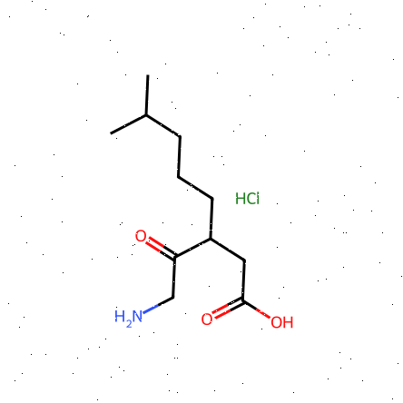 CC(C)CCCC(CC(=O)O)C(=O)CN.Cl